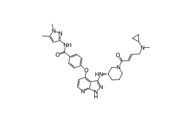 Cc1cc(NC(=O)c2ccc(Oc3ccnc4[nH]nc(N[C@@H]5CCCN(C(=O)C=CCN(C)C6CC6)C5)c34)cc2)nn1C